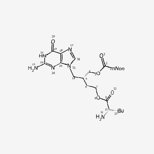 CCCCCCCCCC(=O)OC[C@H](CCOC(=O)[C@@H](N)[C@@H](C)CC)Cn1cnc2c(=O)[nH]c(N)nc21